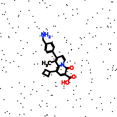 Cc1c(-c2ccc(CN)cc2)ccn2c(=O)c(C(=O)O)cc(C3CCC3)c12